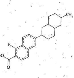 COC(=O)c1ccc2cc(C3CCC4CC(C)CCC4C3)ccc2c1F